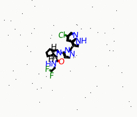 O=C(NCC(F)F)[C@H]1[C@@H]2CCC[C@@H]2CN1c1ccnc(-c2c[nH]c3ncc(Cl)cc23)n1